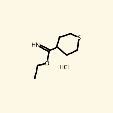 CCOC(=N)C1CCSCC1.Cl